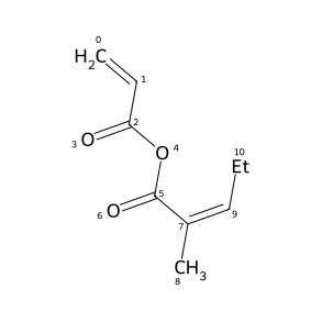 C=CC(=O)OC(=O)C(C)=CCC